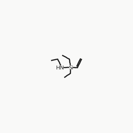 C=C[Si](CC)(CC)NCC